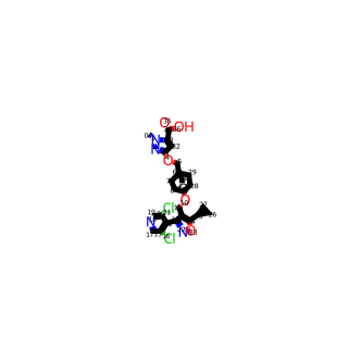 Cn1nc(OCC23CCC(OCc4c(-c5c(Cl)cncc5Cl)noc4C4CC4)(CC2)CC3)cc1C(=O)O